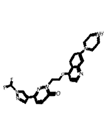 O=c1ccc(-c2cnn(C(F)F)c2)nn1CCOc1ccnc2cc(N3CCNCC3)ccc12